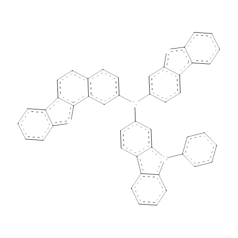 c1ccc(-n2c3ccccc3c3ccc(N(c4ccc5c(c4)oc4ccccc45)c4ccc5ccc6c7ccccc7sc6c5c4)cc32)cc1